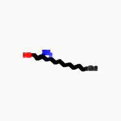 CCCCCCCCCCCCC[CH]CCCC(N)=CCO